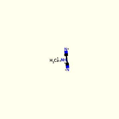 N.N#CC#N.[CaH2]